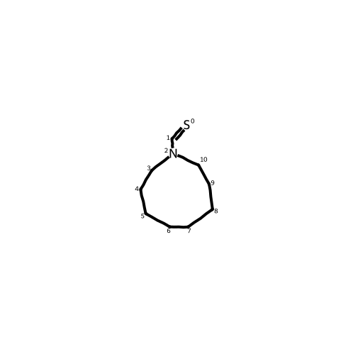 S=CN1CCCCCCCC1